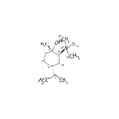 C=C(C)[C@@H]1CC[C@](C)(O)[C@@H]([N+](C)(C)[O-])C1